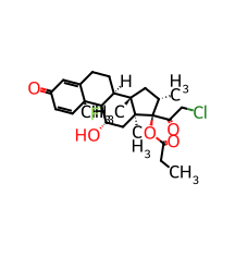 CCC(=O)O[C@]1(C(=O)CCl)[C@@H](C)C[C@@]2(C)[C@@H]3CCC4=CC(=O)C=C[C@]4(C)[C@@]3(F)[C@@H](O)C[C@@]21C